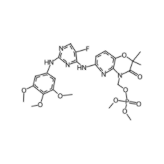 COc1cc(Nc2ncc(F)c(Nc3ccc4c(n3)N(COP(=O)(OC)OC)C(=O)C(C)(C)O4)n2)cc(OC)c1OC